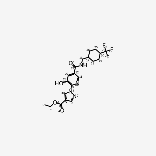 CCOC(=O)c1cnn(-c2ncc(C(=O)NCC3CCC(C(F)(F)F)CC3)cc2O)c1